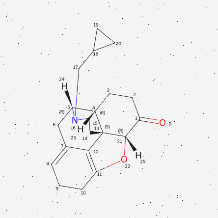 O=C1CC[C@H]2[C@H]3CC4=CCCC5=C4[C@@]2(CCN3CC2CC2)[C@H]1O5